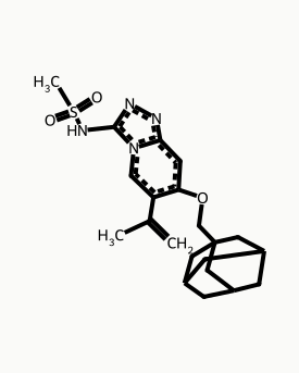 C=C(C)c1cn2c(NS(C)(=O)=O)nnc2cc1OCC12CC3CC(CC(C3)C1)C2